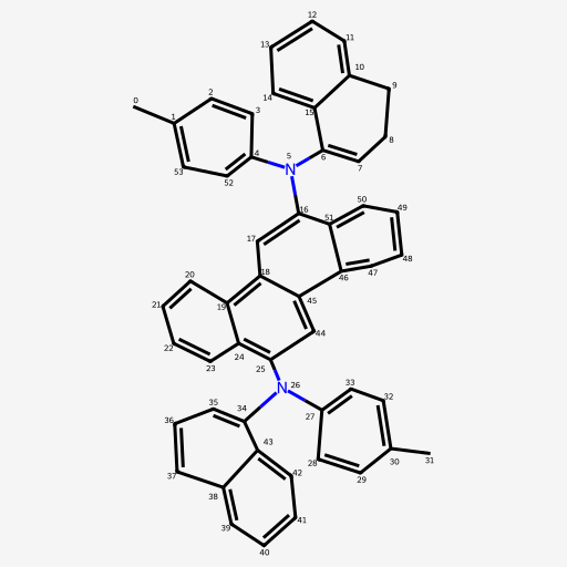 Cc1ccc(N(C2=CCCc3ccccc32)c2cc3c4ccccc4c(N(c4ccc(C)cc4)c4cccc5ccccc45)cc3c3ccccc23)cc1